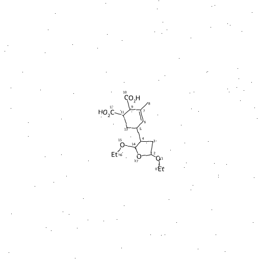 CCOC1CC(C2C=C(C)C(C(=O)O)C(C(=O)O)C2)C(OCC)O1